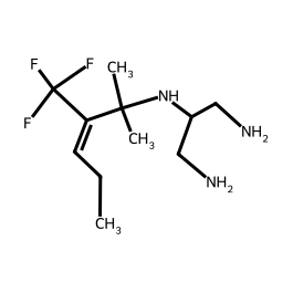 CC/C=C(/C(F)(F)F)C(C)(C)NC(CN)CN